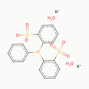 O.O.O=S(=O)([O-])c1ccccc1P(c1ccccc1)c1ccccc1S(=O)(=O)[O-].[K+].[K+]